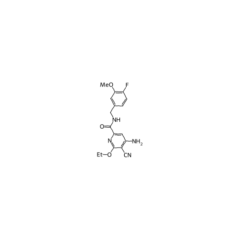 CCOc1nc(C(=O)NCc2ccc(F)c(OC)c2)cc(N)c1C#N